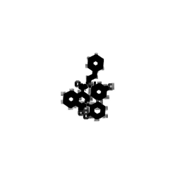 O=C(NCCc1ccccc1)[C@@H]1c2ccccc2C(=O)N([C@@H]2CCCC[C@H]2O)[C@H]1c1ccc(Cl)cc1Cl